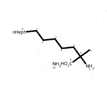 CCCCCCCCCCCCC(C)(N)C(=O)O.N